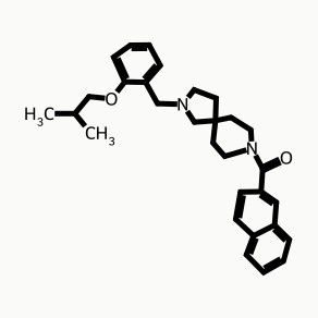 CC(C)COc1ccccc1CN1CCC2(CCN(C(=O)c3ccc4ccccc4c3)CC2)C1